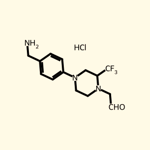 Cl.NCc1ccc(N2CCN(CC=O)C(C(F)(F)F)C2)cc1